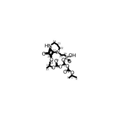 CC(C)OC(=O)OC(OC(=O)OC(C)C)OP(=O)(O)CCN1CCCNc2c1c(=O)c2=O